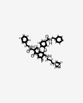 O=C(NCc1ccccc1)c1ccc2c(c1)Oc1c(NCCCn3ccnc3)c(F)cc3c(=O)c(C(=O)NCc4ccccc4)cn-2c13